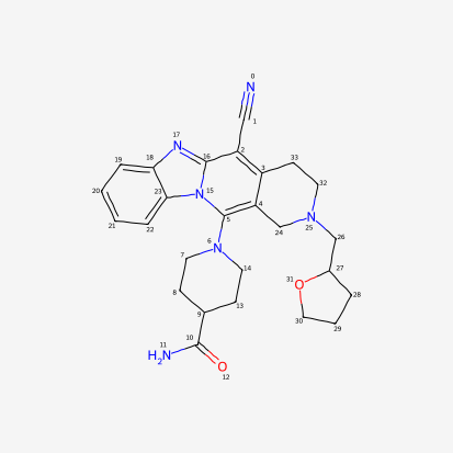 N#Cc1c2c(c(N3CCC(C(N)=O)CC3)n3c1nc1ccccc13)CN(CC1CCCO1)CC2